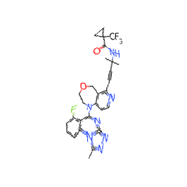 Cc1nnc2nc(N3CCOCc4c3ccnc4C#CC(C)(C)NC(=O)C3(C(F)(F)F)CC3)c3c(F)cccc3n12